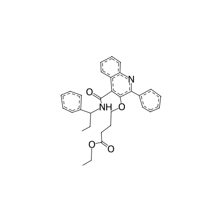 CCOC(=O)CCCOc1c(-c2ccccc2)nc2ccccc2c1C(=O)NC(CC)c1ccccc1